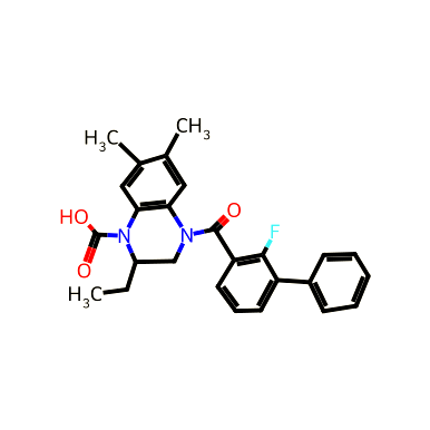 CCC1CN(C(=O)c2cccc(-c3ccccc3)c2F)c2cc(C)c(C)cc2N1C(=O)O